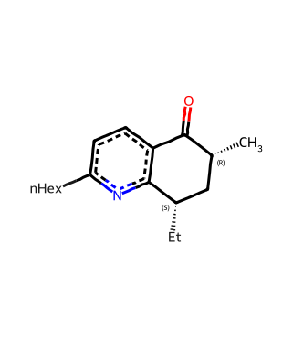 CCCCCCc1ccc2c(n1)[C@@H](CC)C[C@@H](C)C2=O